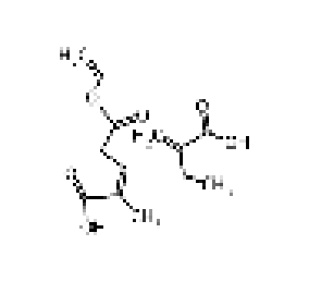 C=C(CC)C(=O)O.C=COC(=O)CC=C(C)C(=O)O